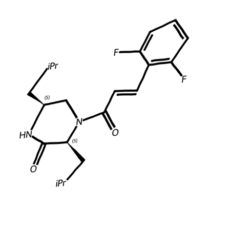 CC(C)C[C@H]1CN(C(=O)C=Cc2c(F)cccc2F)[C@@H](CC(C)C)C(=O)N1